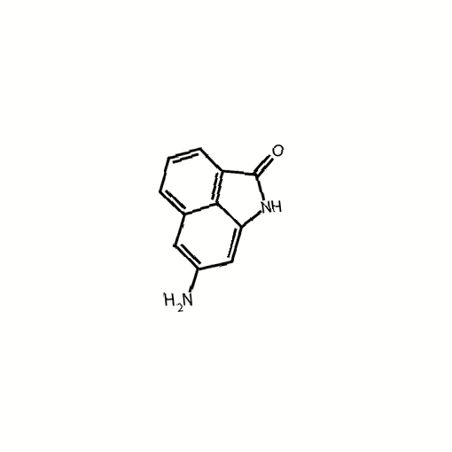 Nc1cc2c3c(cccc3c1)C(=O)N2